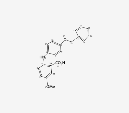 COc1ccc(Nc2ccc(OCc3ccccc3)cc2)c(C(=O)O)c1